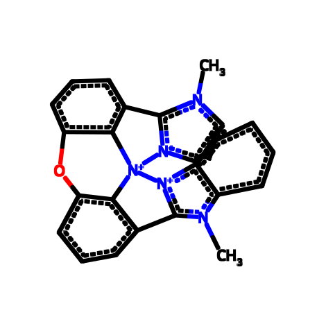 Cn1c2[n+](c3ccccc31)[N+]13c4c(cccc4-2)Oc2cccc(c21)-c1n(C)c2ccccc2[n+]13